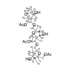 CC(=O)OCC1(C)OC(C)(COCC2(C)C(C)(COC(C)=O)OC(C)(COCC3(C)C(C)(COC(C)=O)OC(C)(C)C(C)(C)C3(C)O)C(C)(C)C2(C)O)C(C)(C)C(C)(O)C1(C)C